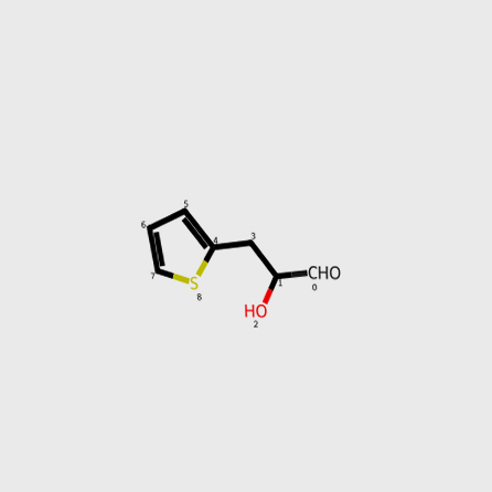 O=CC(O)Cc1cccs1